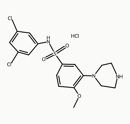 COc1ccc(S(=O)(=O)Nc2cc(Cl)cc(Cl)c2)cc1N1CCNCC1.Cl